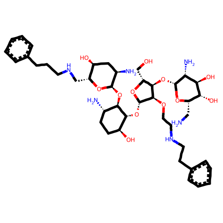 NC[C@@H]1O[C@H](O[C@H]2[C@@H](OCCNCCc3ccccc3)[C@H](O[C@H]3[C@H](O[C@H]4O[C@H](CNCCCc5ccccc5)[C@@H](O)C[C@H]4N)[C@@H](N)CC[C@@H]3O)O[C@@H]2CO)[C@H](N)[C@@H](O)[C@@H]1O